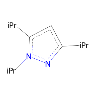 CC(C)c1cc(C(C)C)n(C(C)C)n1